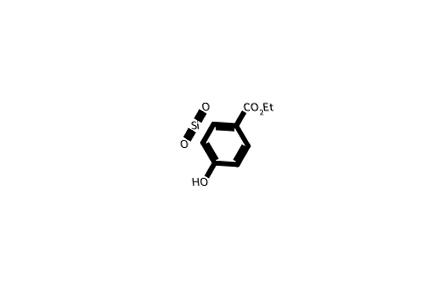 CCOC(=O)c1ccc(O)cc1.O=[Si]=O